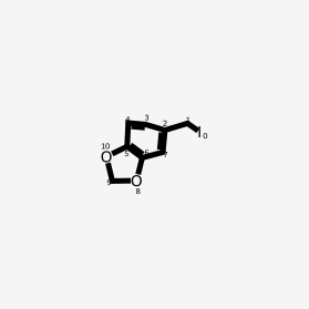 ICc1ccc2c(c1)OCO2